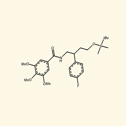 COc1cc(C(=O)NCC(CCO[Si](C)(C)C(C)(C)C)c2ccc(F)cc2)cc(OC)c1OC